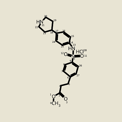 COC(=O)CCc1ccc(S(=O)(=O)Nc2ccc(C3CCNCC3)cc2)cc1.Cl